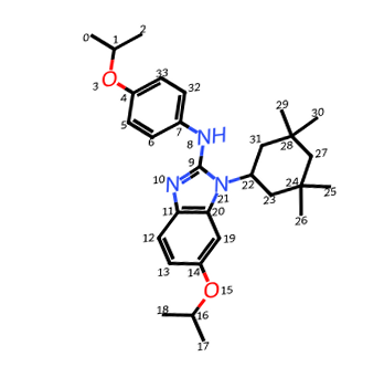 CC(C)Oc1ccc(Nc2nc3ccc(OC(C)C)cc3n2C2CC(C)(C)CC(C)(C)C2)cc1